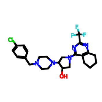 OC1CN(c2nc(C(F)(F)F)nc3c2CCCC3)CC1N1CCN(Cc2ccc(Cl)cc2)CC1